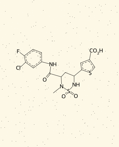 CN1C(C(=O)Nc2ccc(F)c(Cl)c2)CC(c2cc(C(=O)O)cs2)NS1(=O)=O